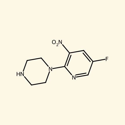 O=[N+]([O-])c1cc(F)cnc1N1CCNCC1